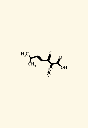 CC(C)C=CC(=O)C(=[N+]=[N-])C(=O)O